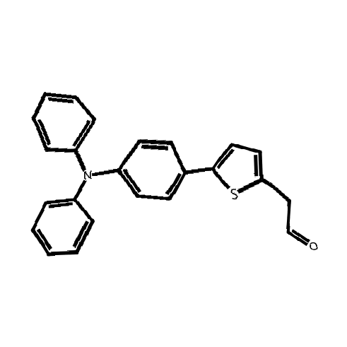 O=CCc1ccc(-c2ccc(N(c3ccccc3)c3ccccc3)cc2)s1